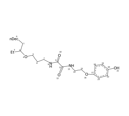 CCCCCCCCCCCC(CC)OCCCNC(=O)C(=O)NCCOc1ccc(O)cc1